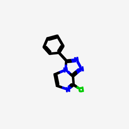 Clc1nccn2c(-c3ccccc3)nnc12